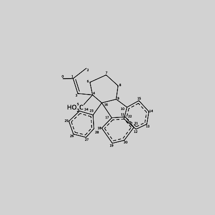 CC(C)=CC1(C(=O)O)CCCC(c2ccccc2)C1(c1ccccc1)c1ccccc1